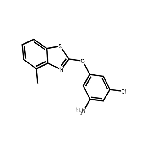 Cc1cccc2sc(Oc3cc(N)cc(Cl)c3)nc12